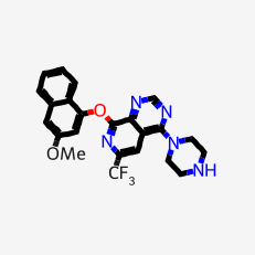 COc1cc(Oc2nc(C(F)(F)F)cc3c(N4CCNCC4)ncnc23)c2ccccc2c1